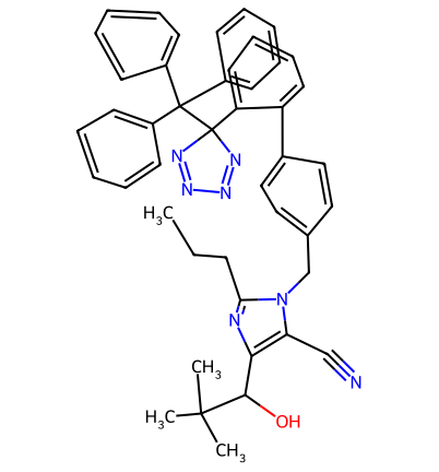 CCCc1nc(C(O)C(C)(C)C)c(C#N)n1Cc1ccc(-c2ccccc2C2(C(c3ccccc3)(c3ccccc3)c3ccccc3)N=NN=N2)cc1